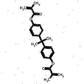 C=C(C)C(=O)OC1=CCC(C(C)(C)c2ccc(OC(=O)C(=C)C)cc2)C=C1